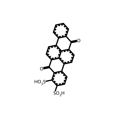 O=C1c2ccccc2-c2ccc3c4c(ccc1c24)-c1ccc(S(=O)(=O)O)c(S(=O)(=O)O)c1C3=O